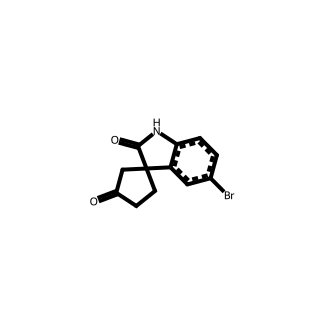 O=C1CCC2(C1)C(=O)Nc1ccc(Br)cc12